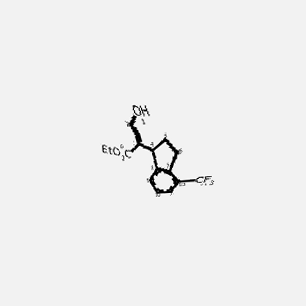 CCOC(=O)/C(=C/O)C1CCc2c1cccc2C(F)(F)F